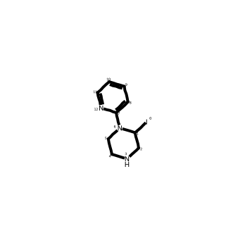 IC1CNCCN1c1ccccn1